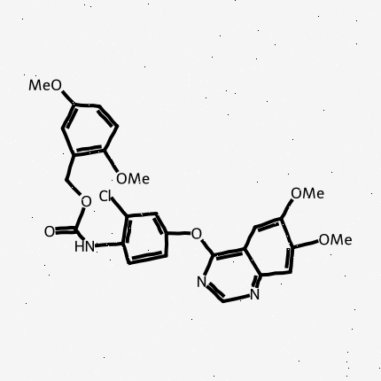 COc1ccc(OC)c(COC(=O)Nc2ccc(Oc3ncnc4cc(OC)c(OC)cc34)cc2Cl)c1